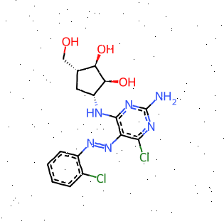 Nc1nc(Cl)c(/N=N/c2ccccc2Cl)c(N[C@@H]2C[C@H](CO)[C@@H](O)[C@H]2O)n1